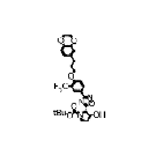 CC(C)(C)OC(=O)N1CC[C@H](O)[C@H]1c1nc(-c2ccc(OCCCc3ccc4c(c3)OCCO4)c(C(F)(F)F)c2)no1